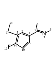 CCc1cc(/C(C)=N/C)ccc1F